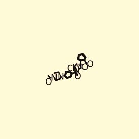 CC(=O)N1CCN(c2ccc(C(=O)N3CC[C@@]4(C3)OC(=O)c3ccccc34)c(Cl)c2)CC1